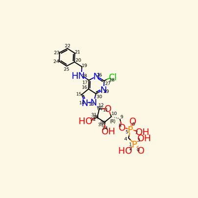 O=P(O)(O)CP(=O)(O)OC[C@H]1O[C@@H](n2ncc3c(NCc4ccccc4)nc(Cl)nc32)[C@H](O)[C@@H]1O